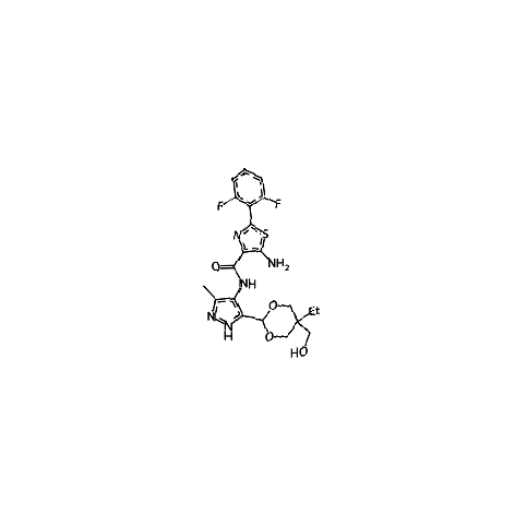 CCC1(CO)COC(c2[nH]nc(C)c2NC(=O)c2nc(-c3c(F)cccc3F)sc2N)OC1